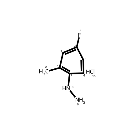 Cc1cc(F)ccc1NN.Cl